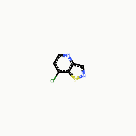 Clc1ccnc2cnsc12